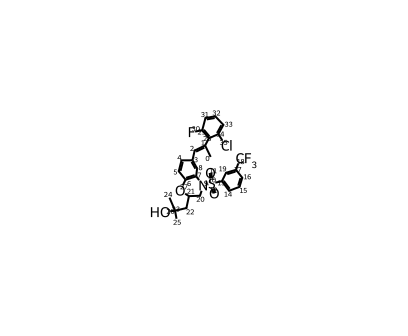 CC(=Cc1ccc2c(c1)N(S(=O)(=O)c1cccc(C(F)(F)F)c1)CC(CC(C)(C)O)O2)c1c(F)cccc1Cl